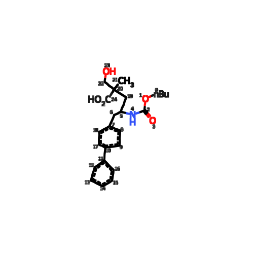 CCCCOC(=O)NC(Cc1ccc(-c2ccccc2)cc1)CC(C)(CO)C(=O)O